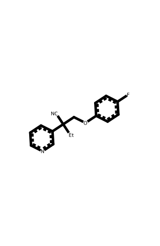 CCC(C#N)(COc1ccc(F)cc1)c1cccnc1